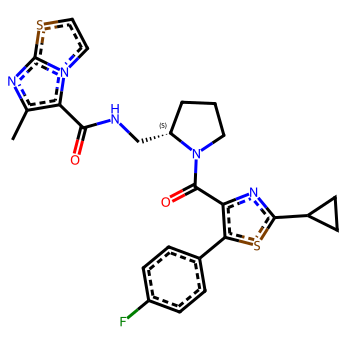 Cc1nc2sccn2c1C(=O)NC[C@@H]1CCCN1C(=O)c1nc(C2CC2)sc1-c1ccc(F)cc1